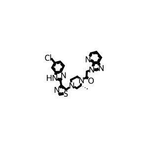 C[C@@H]1CN(c2scnc2-c2nc3ccc(Cl)cc3[nH]2)CCN1C(=O)Cn1cnc2cccnc21